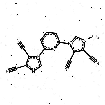 C[n+]1cn(-c2cccc(-n3cnc(C#N)c3C#N)n2)c(C#N)c1C#N